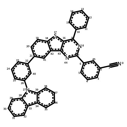 N#Cc1cccc(-c2nc(-c3ccccc3)c3sc4ccc(-c5cccc(-n6c7ccccc7c7ccccc76)c5)cc4c3n2)c1